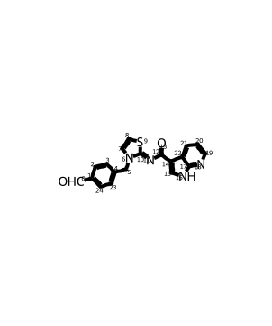 O=Cc1ccc(Cn2ccsc2=NC(=O)c2c[nH]c3ncccc23)cc1